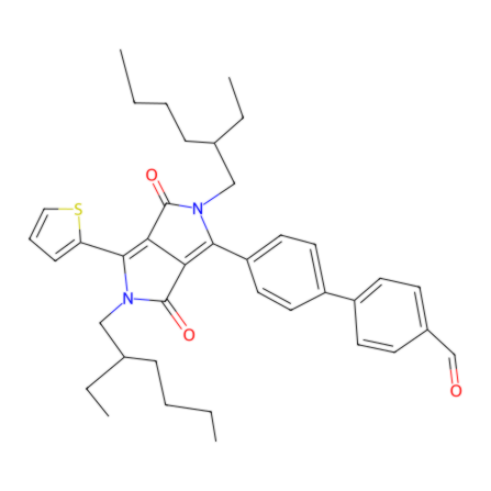 CCCCC(CC)CN1C(=O)C2=C(c3cccs3)N(CC(CC)CCCC)C(=O)C2=C1c1ccc(-c2ccc(C=O)cc2)cc1